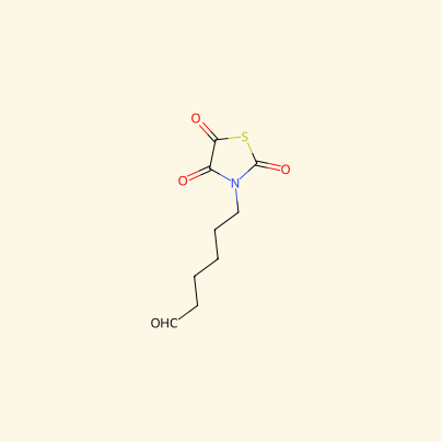 O=CCCCCCN1C(=O)SC(=O)C1=O